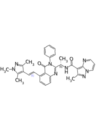 Cc1nn(C)c(C)c1/C=C/c1cccc2nc([C@H](C)NC(=O)c3c(C)nn4cccnc34)n(-c3ccccc3)c(=O)c12